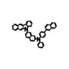 c1ccc(N(c2ccc(-c3ccc4ccccc4c3)cc2)c2ccc3ccc(-n4c5ccccc5c5cc6ccccc6cc54)cc3c2)cc1